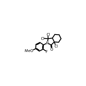 COc1ccc(N2C(=O)C3(Cl)CCCCC3C2(Cl)Cl)c(F)c1